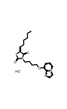 CCCCC/C=C1/SC(=O)N(CCCCOc2cccn3ccnc23)C1=O.Cl